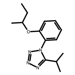 CCC(C)Oc1ccccc1-n1nnnc1C(C)C